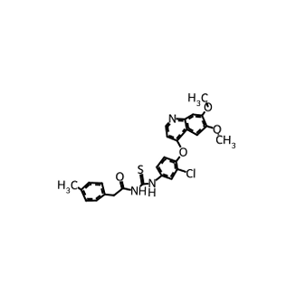 COc1cc2nccc(Oc3ccc(NC(=S)NC(=O)Cc4ccc(C)cc4)cc3Cl)c2cc1OC